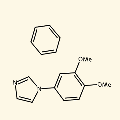 COc1ccc(-n2ccnc2)cc1OC.c1ccccc1